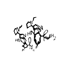 CCCN1CCCC1c1cnn2c1[nH]c1cc(F)cc(C(N)=O)c12.CN1CCCC1c1cnn2c1[nH]c1cc(F)cc(C(N)=O)c12